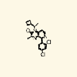 Cc1nc2c(-c3ccc(Cl)cc3Cl)nccc2n([C@H](C)C2CCC2)c1=O